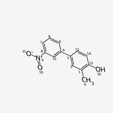 Cc1cc(-c2cccc([N+](=O)[O-])c2)ccc1O